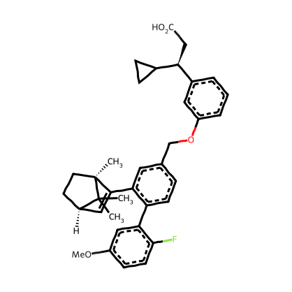 COc1ccc(F)c(-c2ccc(COc3cccc([C@H](CC(=O)O)C4CC4)c3)cc2C2=C[C@H]3CC[C@]2(C)C3(C)C)c1